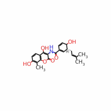 CC(C)=CC[C@@H]1C=C(C(=O)Nc2c(O)c3ccc(O)c(C)c3oc2=O)C=CC1O